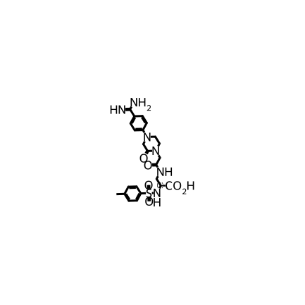 Cc1ccc(S(=O)(=O)N[C@@H](CNC(=O)CN2CCN(c3ccc(C(=N)N)cc3)CC2=O)C(=O)O)cc1